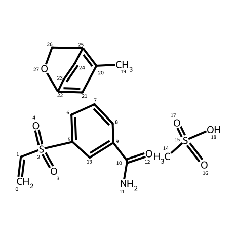 C=CS(=O)(=O)c1cccc(C(N)=O)c1.CS(=O)(=O)O.Cc1cc2ccc1CO2